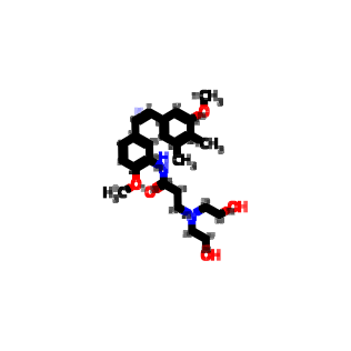 COc1ccc(/C=C\c2cc(C)c(C)c(OC)c2)cc1NC(=O)CCN(CCO)CCO